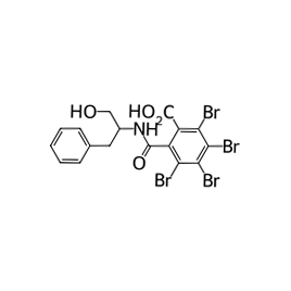 O=C(O)c1c(Br)c(Br)c(Br)c(Br)c1C(=O)NC(CO)Cc1ccccc1